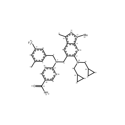 Cc1cc(CN(Cc2cc3c(C)nn(C(C)(C)C)c3nc2N(CC2CC2)CC2CC2)c2ncc(C(N)=O)cn2)cc(C(F)(F)F)c1